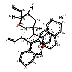 C=CCOC(c1ccnc2ccccc12)[C@@H]1C[C@@H]2CC[N@@+]1(Cc1c3ccccc3cc3ccccc13)C[C@@H]2C=C.[Br-]